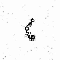 O=C(NCC1CCN(Cc2cc(-c3ccsc3)cs2)CC1)C1=Cc2n[nH]c3cccc(c23)S1